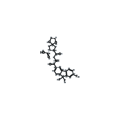 O=C(NCC(=O)N1CC2(C[C@H]1C(=O)O)OCCO2)c1ccc2c(c1)-c1ccc(F)cc1C2(F)F